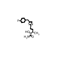 C[C@H](/C=C/c1ncc(Cc2ccc(F)cc2)s1)N(O)C(N)=O